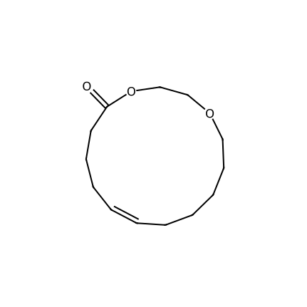 O=C1CCC/C=C\CCCCCOCCO1